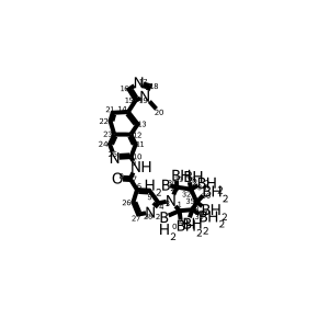 BC1(B)N(c2cc(C(=O)Nc3cc4cc(-c5cncn5C)ccc4cn3)ccn2)C(B)(B)C(B)(B)C(B)(B)C1(B)B